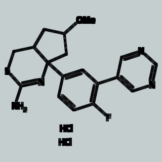 COC1CC2CSC(N)=NC2(c2ccc(F)c(-c3cncnc3)c2)C1.Cl.Cl